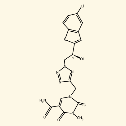 Cn1c(=O)c(C(N)=O)cn(Cc2nnn(C[C@H](O)c3cc4cc(Cl)ccc4s3)n2)c1=O